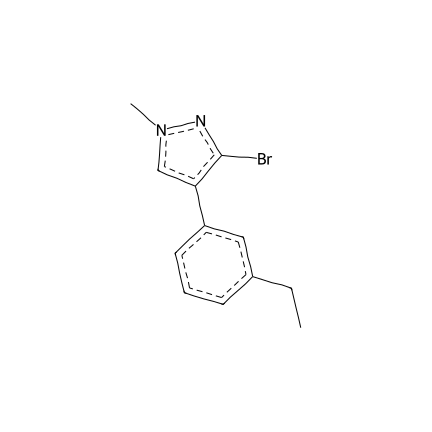 CCc1cccc(-c2cn(C)nc2Br)c1